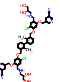 Cc1c(COc2cc(OCc3cncc(C#N)c3)c(CNC[C@H](O)CO)cc2Cl)cccc1-c1cccc(COc2cc(OCc3cncc(C#N)c3)c(CNC[C@H](O)CO)cc2Cl)c1C